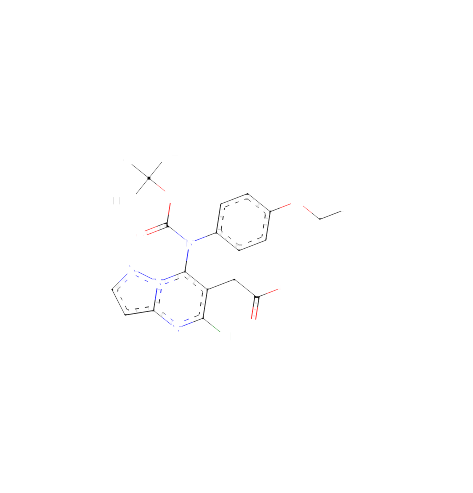 CCOc1ccc(N(C(=O)OC(C)(C)C)c2c(CC(=O)O)c(Cl)nc3ccnn23)cc1